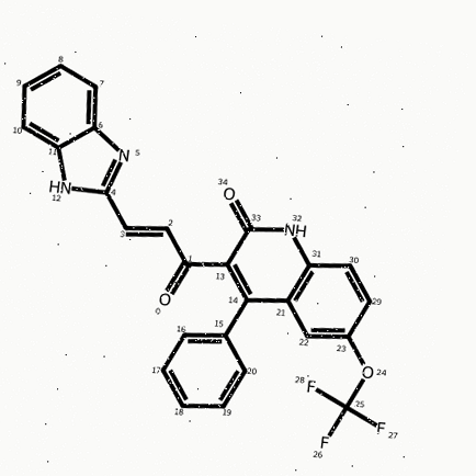 O=C(C=Cc1nc2ccccc2[nH]1)c1c(-c2ccccc2)c2cc(OC(F)(F)F)ccc2[nH]c1=O